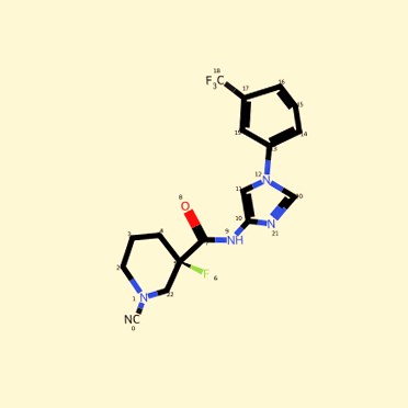 N#CN1CCC[C@](F)(C(=O)Nc2cn(-c3cccc(C(F)(F)F)c3)cn2)C1